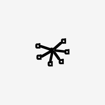 [Cl][K]([Cl])([Cl])([Cl])([Cl])[Cl]